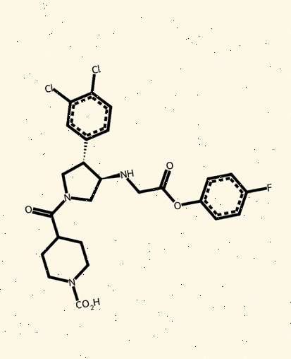 O=C(CN[C@H]1CN(C(=O)C2CCN(C(=O)O)CC2)C[C@@H]1c1ccc(Cl)c(Cl)c1)Oc1ccc(F)cc1